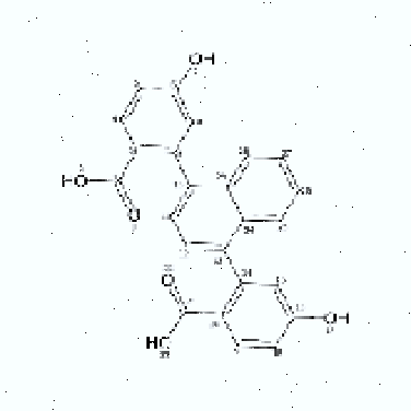 O=C(O)c1ccc(O)cc1-c1ccc(-c2cc(O)ccc2C(=O)O)c2ccccc12